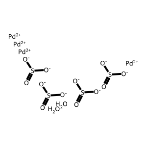 O.O.O=S([O-])[O-].O=S([O-])[O-].O=S([O-])[O-].O=S([O-])[O-].[Pd+2].[Pd+2].[Pd+2].[Pd+2]